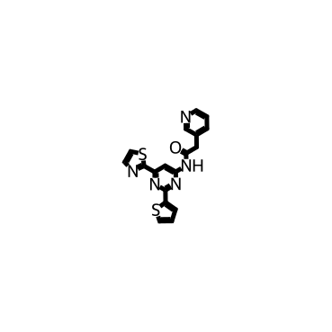 O=C(Cc1cccnc1)Nc1cc(-c2nccs2)nc(-c2cccs2)n1